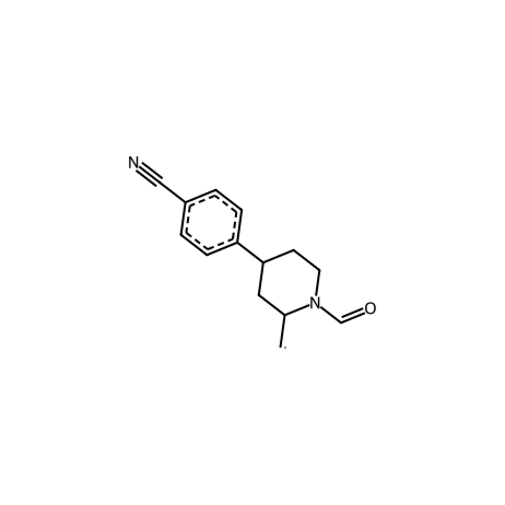 [CH2]C1CC(c2ccc(C#N)cc2)CCN1C=O